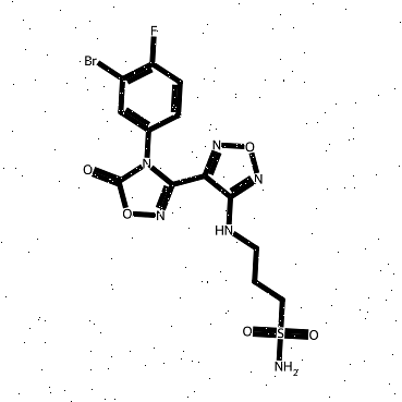 NS(=O)(=O)CCCNc1nonc1-c1noc(=O)n1-c1ccc(F)c(Br)c1